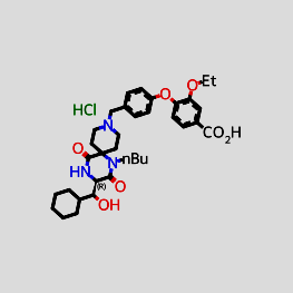 CCCCN1C(=O)[C@@H](C(O)C2CCCCC2)NC(=O)C12CCN(Cc1ccc(Oc3ccc(C(=O)O)cc3OCC)cc1)CC2.Cl